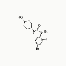 CCN(C(=O)N(C)C1CCC(O)CC1)c1ccc(Br)cc1F